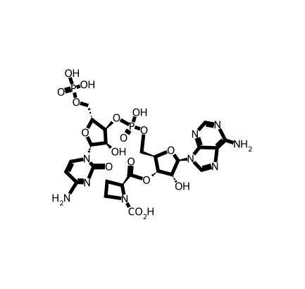 Nc1ccn([C@@H]2O[C@H](COP(=O)(O)O)[C@@H](OP(=O)(O)OC[C@H]3O[C@@H](n4cnc5c(N)ncnc54)[C@H](O)[C@@H]3OC(=O)[C@@H]3CCN3C(=O)O)[C@H]2O)c(=O)n1